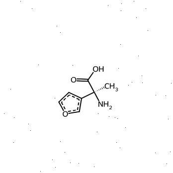 C[C@@](N)(C(=O)O)c1ccoc1